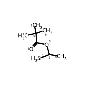 CC([SiH3])OC(=O)C(C)(C)C